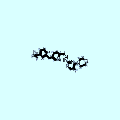 Fc1cnc(N/N=C\c2ccc(Cc3cccc(C(F)(F)F)c3)cn2)nc1N1CCOCC1